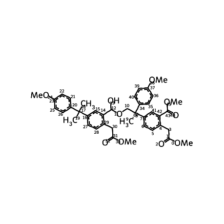 COC(=O)Cc1ccc([C@@](C)(COC(O)c2cc(C(C)(C)c3ccc(OC)cc3)ccc2CC(=O)OC)c2ccc(OC)cc2)cc1C(=O)OC